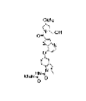 CNC(=O)NC(=O)n1c(C)cc2cc(Oc3ccnc4cc(C(=O)N5CC(OC)CC5CO)sc34)ccc21